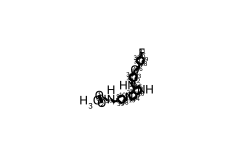 CS(=O)(=O)CCNCc1ccc(N2C=CC3=CNC=C(Nc4ccc(OCc5ccc(F)cc5)cc4)C3=C2)cc1